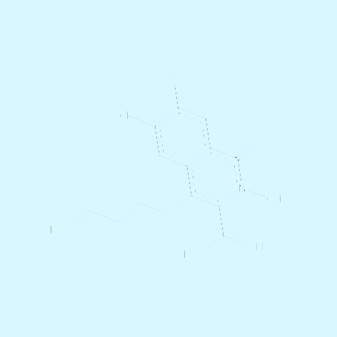 CCCCOc1c(C(C)O)n(C)c(=O)c2cc(Cl)c(Cl)cc12